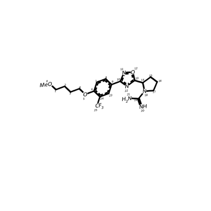 COCCCCOc1ccc(-c2noc(C3CCCN3C(=N)N)n2)cc1C(F)(F)F